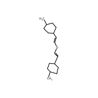 CC1CCC(C=COC=CC2CCC(C)CC2)CC1